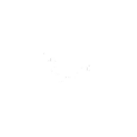 [O-2].[O-2].[O-2].[O-2].[O-2].[SiH4].[SiH4].[V+5].[V+5]